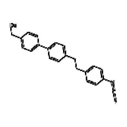 CCC(C)Cc1ccc(-c2ccc(CCc3ccc(N=C=S)cc3)cc2)cc1